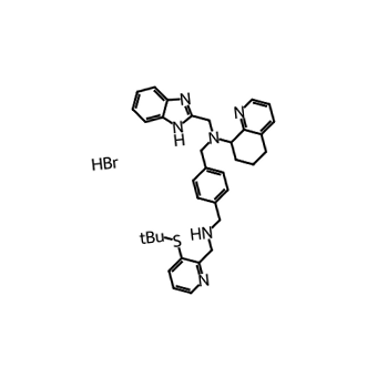 Br.CC(C)(C)Sc1cccnc1CNCc1ccc(CN(Cc2nc3ccccc3[nH]2)C2CCCc3cccnc32)cc1